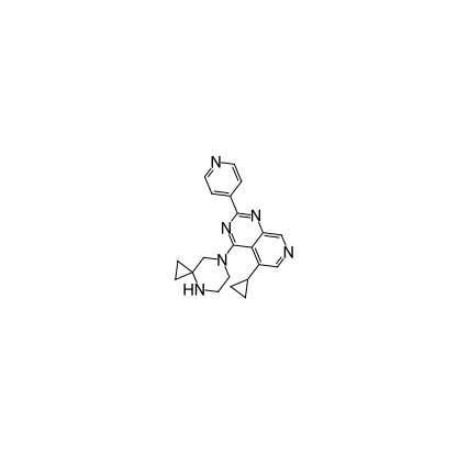 c1cc(-c2nc(N3CCNC4(CC4)C3)c3c(C4CC4)cncc3n2)ccn1